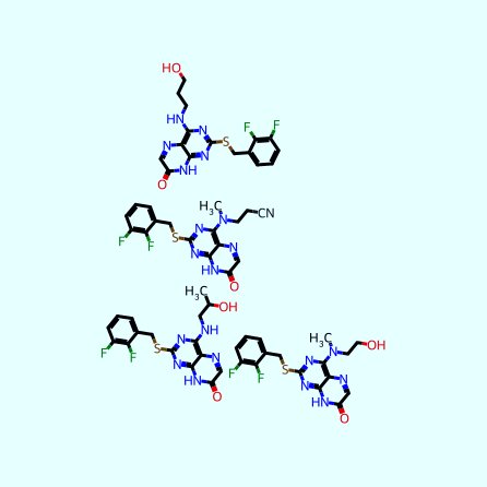 CC(O)CNc1nc(SCc2cccc(F)c2F)nc2[nH]c(=O)cnc12.CN(CCC#N)c1nc(SCc2cccc(F)c2F)nc2[nH]c(=O)cnc12.CN(CCO)c1nc(SCc2cccc(F)c2F)nc2[nH]c(=O)cnc12.O=c1cnc2c(NCCCO)nc(SCc3cccc(F)c3F)nc2[nH]1